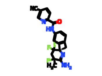 C[C@@]1(F)CC(F)(F)[C@]2(Cc3ccc(NC(=O)c4ccc(C#N)cn4)cc32)N=C1N